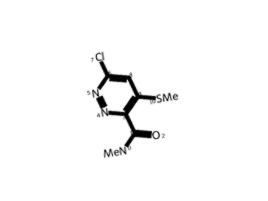 CNC(=O)c1nnc(Cl)cc1SC